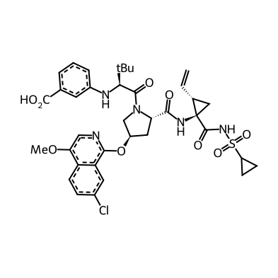 C=C[C@@H]1C[C@]1(NC(=O)[C@@H]1C[C@@H](Oc2ncc(OC)c3ccc(Cl)cc23)CN1C(=O)[C@@H](Nc1cccc(C(=O)O)c1)C(C)(C)C)C(=O)NS(=O)(=O)C1CC1